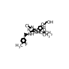 Cc1ccc([C@@H]2C[C@H]2Nc2nc(Cl)nc3c2[nH]n3[C@@H]2C[C@H](OCCO)[C@H]3OC(C)(C)O[C@H]32)cc1F